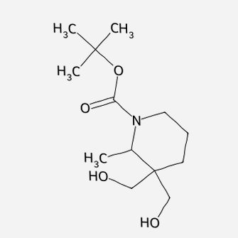 CC1N(C(=O)OC(C)(C)C)CCCC1(CO)CO